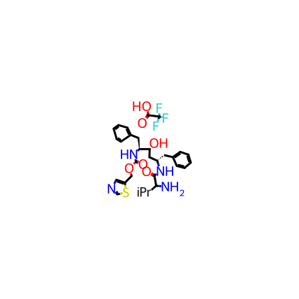 CC(C)C(N)C(=O)N[C@@H](Cc1ccccc1)C[C@H](O)[C@H](Cc1ccccc1)NC(=O)OCc1cncs1.O=C(O)C(F)(F)F